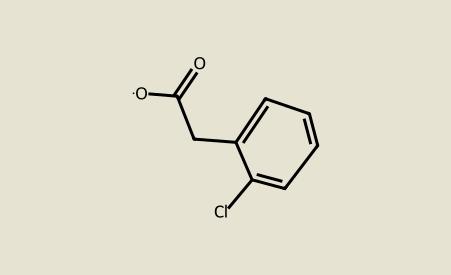 [O]C(=O)Cc1ccccc1Cl